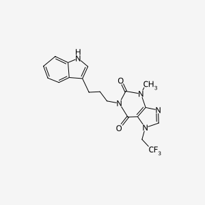 Cn1c(=O)n(CCCc2c[nH]c3ccccc23)c(=O)c2c1ncn2CC(F)(F)F